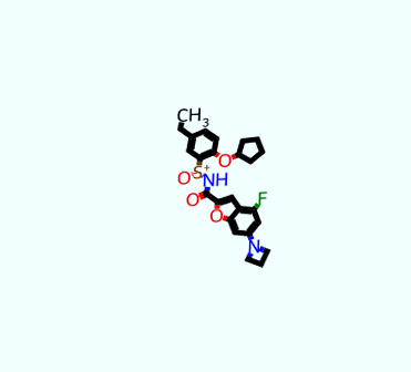 CCc1ccc(OC2CCCC2)c([S+]([O-])NC(=O)c2cc3c(F)cc(N4CCC4)cc3o2)c1